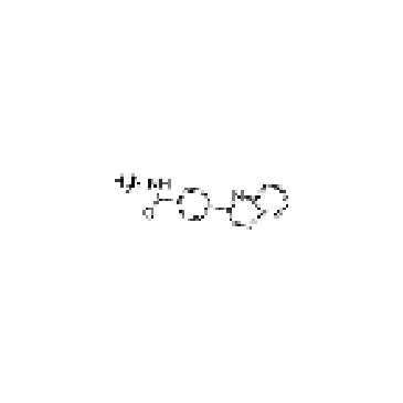 NNC(=O)c1ccc(-c2ccc3ccccc3n2)cc1